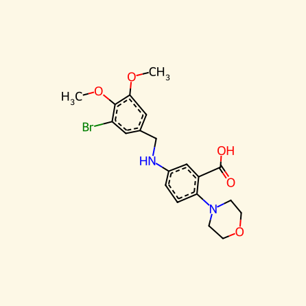 COc1cc(CNc2ccc(N3CCOCC3)c(C(=O)O)c2)cc(Br)c1OC